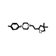 Cc1ccc(N2CCN(CCC3CC(C)(C)CO3)CC2)cc1